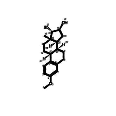 COc1ccc2c(c1)CC[C@H]1[C@@H]2CC[C@]2(C)[C@H](Br)[C@@H](O)C[C@@H]12